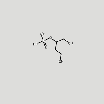 CCCP(=O)(O)OC(CO)CCO